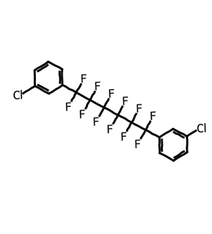 FC(F)(c1cccc(Cl)c1)C(F)(F)C(F)(F)C(F)(F)C(F)(F)C(F)(F)c1cccc(Cl)c1